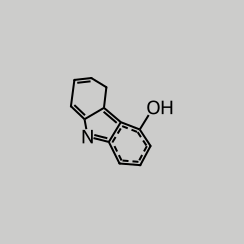 Oc1cccc2c1=C1CC=CC=C1N=2